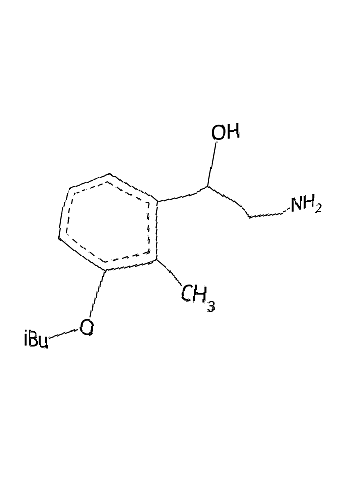 CCC(C)Oc1cccc(C(O)CN)c1C